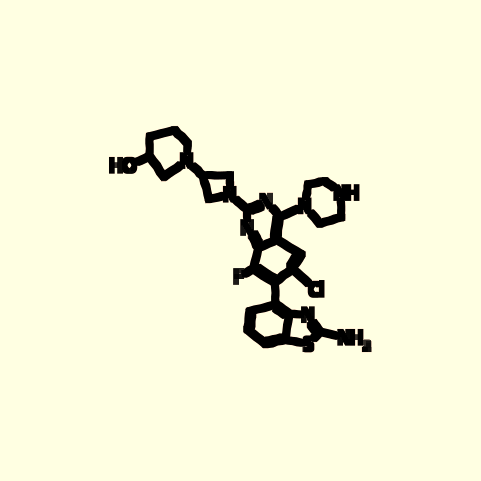 Nc1nc2c(-c3c(Cl)cc4c(N5CCNCC5)nc(N5CC(N6CCCC(O)C6)C5)nc4c3F)cccc2s1